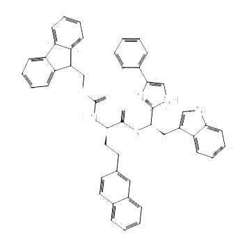 O=C(N[C@H](CCc1ccc2ccccc2c1)C(=O)N[C@H](Cc1c[nH]c2ccccc12)c1nc(-c2ccccc2)c[nH]1)OCC1c2ccccc2-c2ccccc21